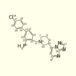 Cc1cc(C2CCCN(Cc3ccc(-c4ccc(Cl)cc4)cc3P)C2)n2ncnc2n1